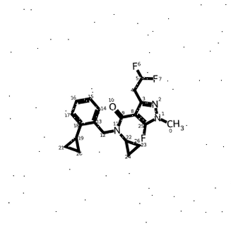 Cn1nc(CC(F)F)c(C(=O)N(Cc2ccccc2C2CC2)C2CC2)c1F